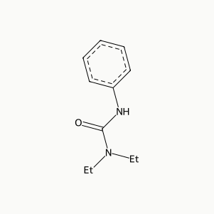 CCN(CC)C(=O)Nc1ccccc1